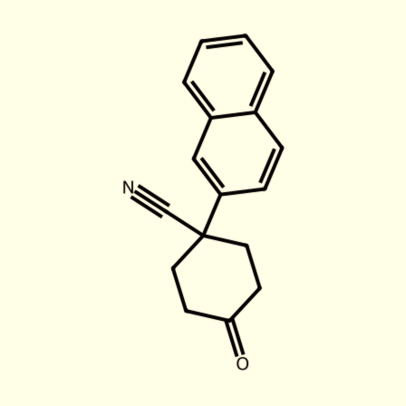 N#CC1(c2ccc3ccccc3c2)CCC(=O)CC1